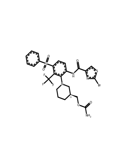 NC(=O)OC[C@H]1CCCN(c2c(NC(=O)c3csc(Br)n3)ccc(S(=O)(=O)c3ccccc3)c2C(F)(F)F)C1